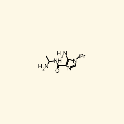 CC(N)NC(=O)c1ncn(C(C)C)c1N